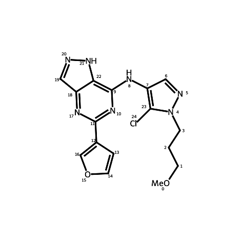 COCCCn1ncc(Nc2nc(-c3ccoc3)nc3cn[nH]c23)c1Cl